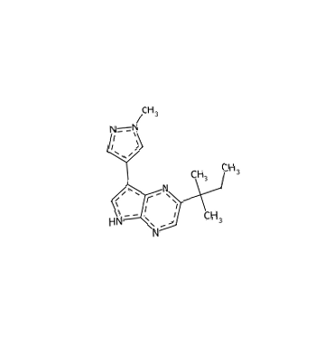 CCC(C)(C)c1cnc2[nH]cc(-c3cnn(C)c3)c2n1